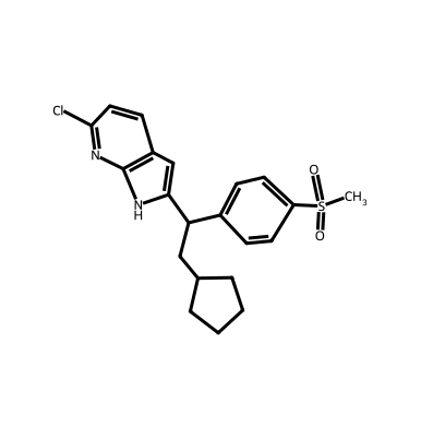 CS(=O)(=O)c1ccc(C(CC2CCCC2)c2cc3ccc(Cl)nc3[nH]2)cc1